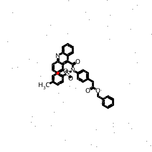 Cc1ccc(S(=O)(=O)N(C(=O)c2c3ccccc3nc3ccccc23)c2ccc(CC(=O)OCc3ccccc3)cc2)cc1